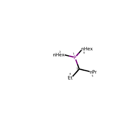 CCCCCCP(CCCCCC)C(CC)CCC